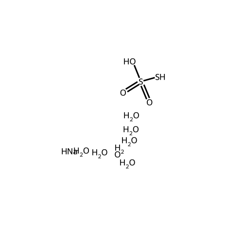 O.O.O.O.O.O.O.O=S(=O)(O)S.[NaH]